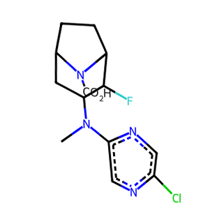 CN(c1cnc(Cl)cn1)C1CC2CCC(C1F)N2C(=O)O